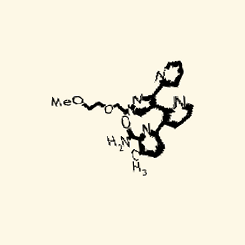 COCCOCCn1cc(-c2ncccc2-c2ccc(C)c(C(N)=O)n2)c(-c2ccccn2)n1